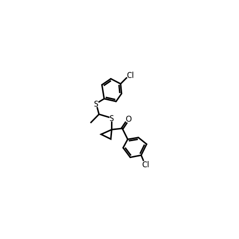 CC(Sc1ccc(Cl)cc1)SC1(C(=O)c2ccc(Cl)cc2)CC1